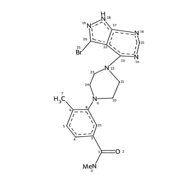 CNC(=O)c1ccc(C)c(N2CCN(c3ncnc4[nH]nc(Br)c34)CC2)c1